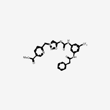 COC(=O)c1ccc(C[n+]2cc([N-]C(=O)Nc3cc(NC(=O)Cc4ccccc4)cc(C(F)(F)F)c3)on2)nc1